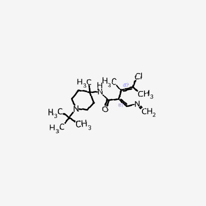 C=N/C=C(C(=O)NC1(C)CCN(C(C)(C)C)CC1)\C(C)=C(/C)Cl